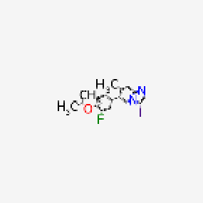 Cc1cc2ncc(I)n2cc1-c1ccc(OC(C)C)c(F)c1